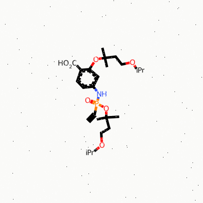 C#CP(=O)(Nc1ccc(C(=O)O)c(OC(C)(C)CCOC(C)C)c1)OC(C)(C)CCOC(C)C